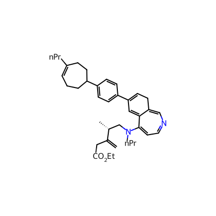 C=C(CC(=O)OCC)[C@H](C)CN(CCC)C1=CC=NC=C2CC=C(c3ccc(C4CCC=C(CCC)CC4)cc3)C=C21